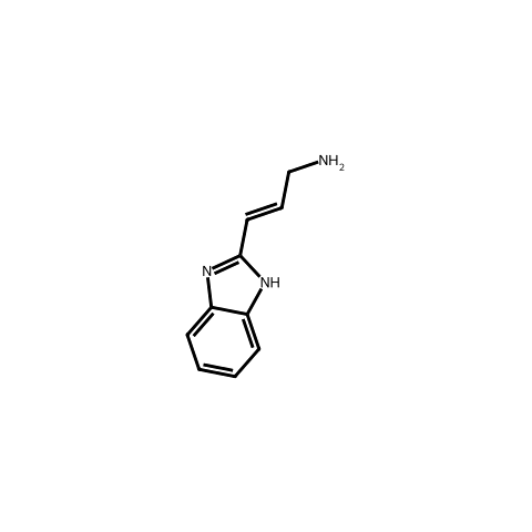 NCC=Cc1nc2ccccc2[nH]1